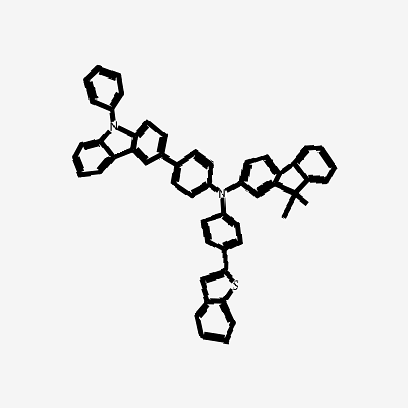 CC1(C)c2ccccc2-c2ccc(N(c3ccc(-c4ccc5c(c4)c4ccccc4n5-c4ccccc4)cc3)c3ccc(-c4cc5ccccc5s4)cc3)cc21